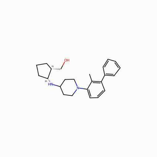 Cc1c(-c2ccccc2)cccc1N1CCC(N[C@@H]2CCC[C@@H]2CO)CC1